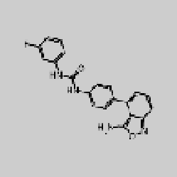 Nc1onc2cccc(-c3ccc(NC(=O)Nc4cccc(F)c4)cc3)c12